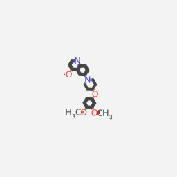 COc1ccc(OC2CCN(c3ccc4nccc([O])c4c3)CC2)cc1OC